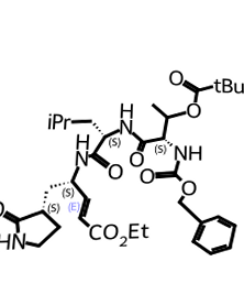 CCOC(=O)/C=C/[C@H](C[C@@H]1CCNC1=O)NC(=O)[C@H](CC(C)C)NC(=O)[C@@H](NC(=O)OCc1ccccc1)C(C)OC(=O)C(C)(C)C